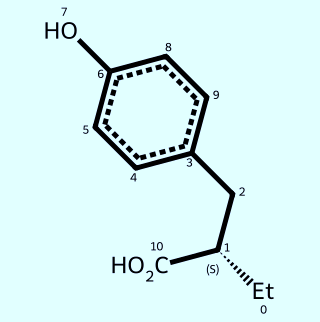 CC[C@@H](Cc1ccc(O)cc1)C(=O)O